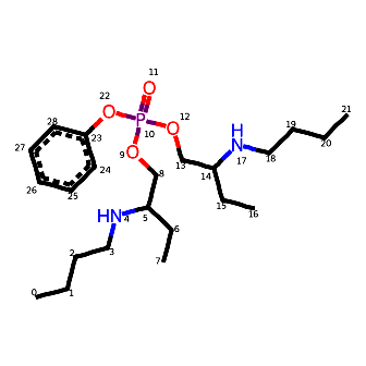 CCCCNC(CC)COP(=O)(OCC(CC)NCCCC)Oc1ccccc1